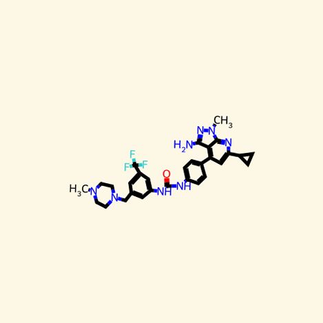 CN1CCN(Cc2cc(NC(=O)Nc3ccc(-c4cc(C5CC5)nc5c4c(N)nn5C)cc3)cc(C(F)(F)F)c2)CC1